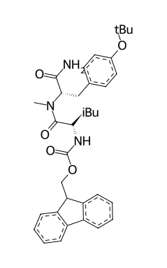 CC[C@H](C)[C@H](NC(=O)OCC1c2ccccc2-c2ccccc21)C(=O)N(C)[C@@H](Cc1ccc(OC(C)(C)C)cc1)C(N)=O